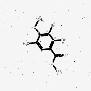 COC(=O)c1cc(C)c(OC)c(Br)c1O